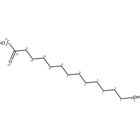 CCCCCCCCCCCCCCCCCCCCCCC(=O)C(=O)O